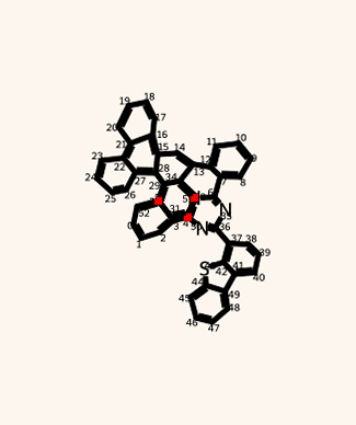 c1ccc(-c2nc(-c3ccccc3-c3cc4c5ccccc5c5ccccc5c4c4ccccc34)nc(-c3cccc4c3sc3ccccc34)n2)cc1